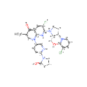 O=C(O)c1cn(-c2ccc(N3CCCC3=O)nc2)c2nc(N3CCC[C@@H]3COc3ncccc3Cl)c(Cl)cc2c1=O